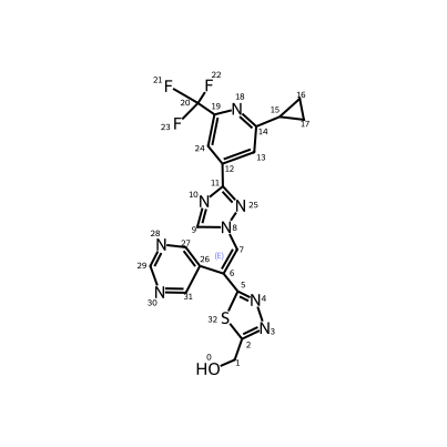 OCc1nnc(/C(=C/n2cnc(-c3cc(C4CC4)nc(C(F)(F)F)c3)n2)c2cncnc2)s1